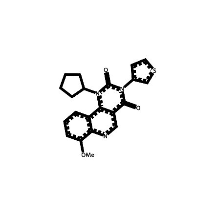 COc1cccc2c1ncc1c(=O)n(-c3ccsc3)c(=O)n(C3CCCC3)c12